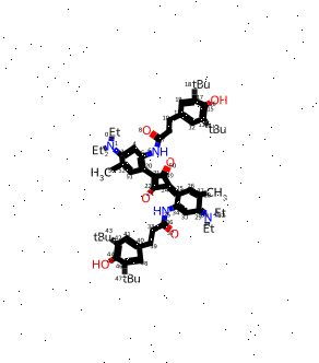 CCN(CC)c1cc(NC(=O)CCc2cc(C(C)(C)C)c(O)c(C(C)(C)C)c2)c(C2=C([O-])/C(=C3/C=C(C)C(=[N+](CC)CC)C=C3NC(=O)CCc3cc(C(C)(C)C)c(O)c(C(C)(C)C)c3)C2=O)cc1C